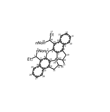 CCCCCCCCCC(CC)c1c(Oc2c3c(c4ccccc4c2C(CC)CCCCCCCCC)CC(C)O3)c2c(c3ccccc13)CC(C)O2